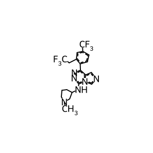 CN1CCCC(Nc2nnc(-c3ccc(C(F)(F)F)cc3CC(F)(F)F)c3cncn23)C1